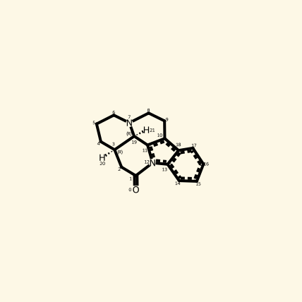 O=C1C[C@H]2CCCN3CCc4c(n1c1ccccc41)[C@@H]23